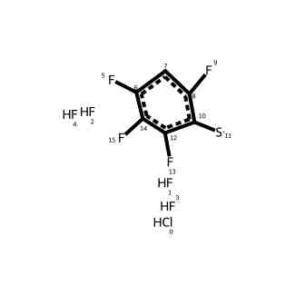 Cl.F.F.F.F.Fc1cc(F)c([S])c(F)c1F